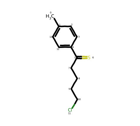 Cc1ccc(C(=S)CCCCCl)cc1